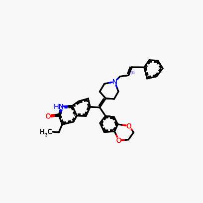 CCc1cc2cc(C(=C3CCN(C/C=C/c4ccccc4)CC3)c3ccc4c(c3)OCCO4)ccc2[nH]c1=O